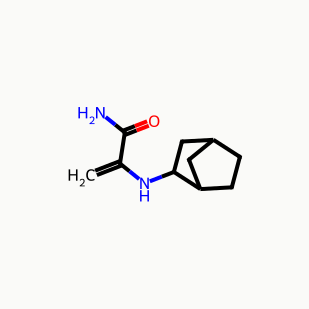 C=C(NC1CC2CCC1C2)C(N)=O